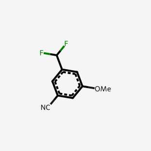 COc1cc(C#N)cc(C(F)F)c1